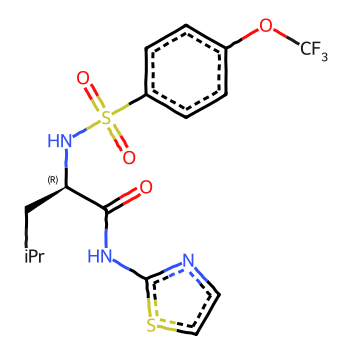 CC(C)C[C@@H](NS(=O)(=O)c1ccc(OC(F)(F)F)cc1)C(=O)Nc1nccs1